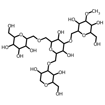 COC1C(O)C(CO)OC(COC2C(O)C(COCC3OC(CO)C(O)C(O)C3O)OC(COC3C(O)COC(CO)C3O)C2O)C1O